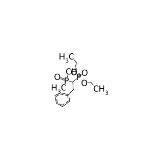 CCOP(=O)(OCC)C(Cc1ccccc1)P(C)(C)=O